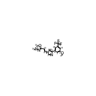 COc1cc(-c2ncn(C=CC3=NN(C)CO3)n2)cc(C(F)(F)F)c1